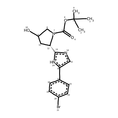 CC(C)(C)OC(=O)N1CC(O)C[C@H]1c1ncc(-c2ccc(Br)cc2)[nH]1